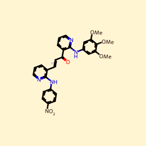 COc1cc(Nc2ncccc2C(=O)/C=C/c2cccnc2Nc2ccc([N+](=O)[O-])cc2)cc(OC)c1OC